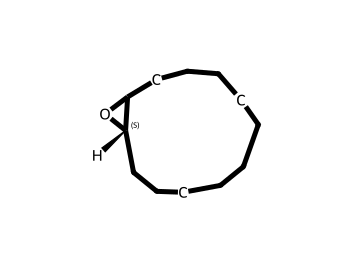 C1CCCCC[C@@H]2OC2CCCC1